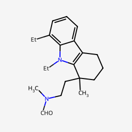 CCc1cccc2c3c(n(CC)c12)C(C)(CCN(C)C=O)CCC3